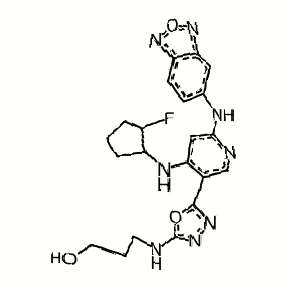 OCCCNc1nnc(-c2cnc(Nc3ccc4nonc4c3)cc2NC2CCCC2F)o1